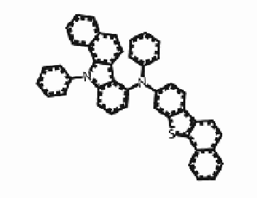 c1ccc(N(c2ccc3c(c2)sc2c4ccccc4ccc32)c2cccc3c2c2ccc4ccccc4c2n3-c2ccccc2)cc1